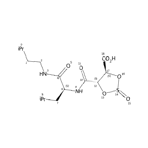 CC(C)CCNC(=O)[C@H](CC(C)C)NC(=O)[C@H]1OS(=O)O[C@@H]1C(=O)O